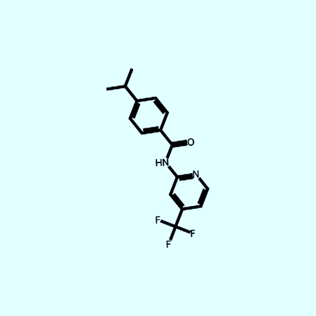 CC(C)c1ccc(C(=O)Nc2cc(C(F)(F)F)ccn2)cc1